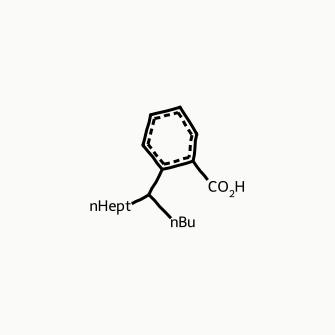 CCCCCCCC(CCCC)c1ccccc1C(=O)O